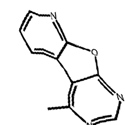 Cc1ncnc2oc3ncccc3c12